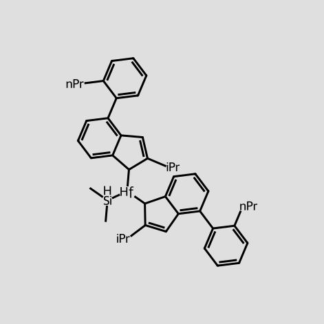 CCCc1ccccc1-c1cccc2c1C=C(C(C)C)[CH]2[Hf]([CH]1C(C(C)C)=Cc2c(-c3ccccc3CCC)cccc21)[SiH](C)C